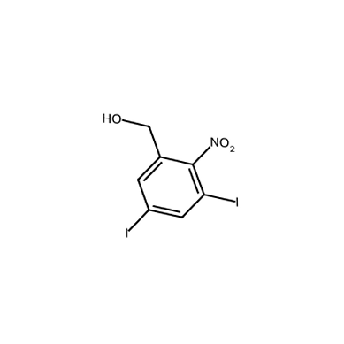 O=[N+]([O-])c1c(I)cc(I)cc1CO